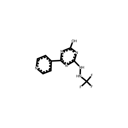 Oc1nc(NNC(F)(F)F)nc(-c2ccncc2)n1